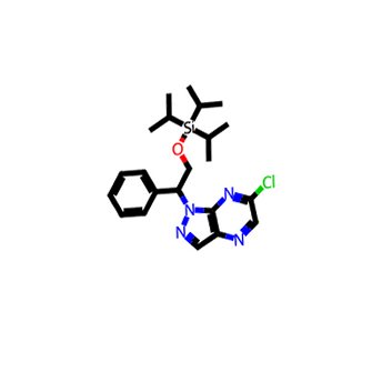 CC(C)[Si](OCC(c1ccccc1)n1ncc2ncc(Cl)nc21)(C(C)C)C(C)C